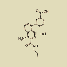 CCCNC(=O)c1nnc2c(-c3cccc(C(=O)O)c3)cccc2c1N.Cl